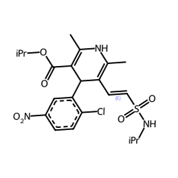 CC1=C(/C=C/S(=O)(=O)NC(C)C)C(c2cc([N+](=O)[O-])ccc2Cl)C(C(=O)OC(C)C)=C(C)N1